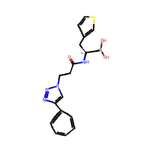 O=C(CCn1cc(-c2ccccc2)nn1)N[C@@H](Cc1ccsc1)B(O)O